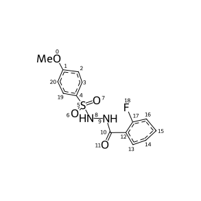 COc1ccc(S(=O)(=O)NNC(=O)c2ccccc2F)cc1